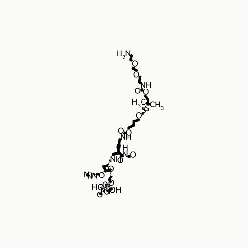 CC(C)(CCOC(=O)NCCOCCOCCN)SSCOCCCCOC(=O)NCC#C/C(=C/NC[C@H]1CC(OCN=[N+]=[N-])[C@@H](CCOP(=O)(O)O[PH](=O)O)O1)C(=O)NC=O